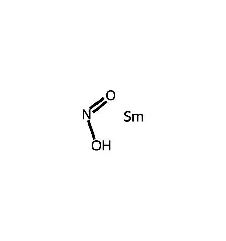 O=NO.[Sm]